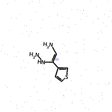 N/C=C(\NN)c1ccsc1